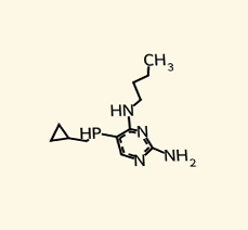 CCCCNc1nc(N)ncc1PCC1CC1